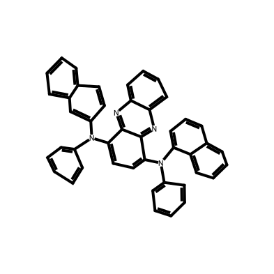 c1ccc(N(c2ccc3ccccc3c2)c2ccc(N(c3ccccc3)c3cccc4ccccc34)c3nc4ccccc4nc23)cc1